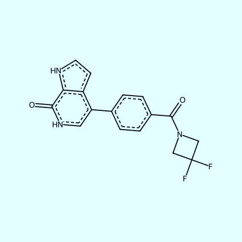 O=C(c1ccc(-c2c[nH]c(=O)c3[nH]ccc23)cc1)N1CC(F)(F)C1